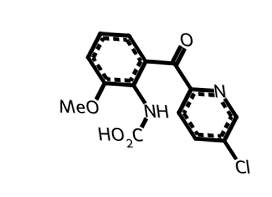 COc1cccc(C(=O)c2ccc(Cl)cn2)c1NC(=O)O